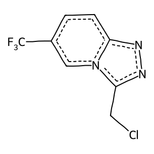 FC(F)(F)c1ccc2nnc(CCl)n2c1